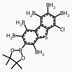 Bc1c(B)c(B)c2c(sc3c(B)c(B4OC(C)(C)C(C)(C)O4)c(B)c(B)c32)c1Cl